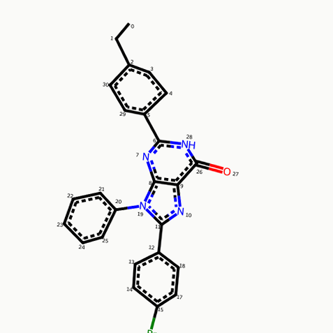 CCc1ccc(-c2nc3c(nc(-c4ccc(Br)cc4)n3-c3ccccc3)c(=O)[nH]2)cc1